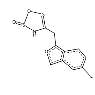 O=S1NC(Cc2occ3cc(F)ccc23)=NO1